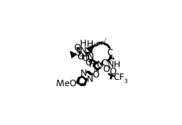 COc1ccc2nc(O[C@@H]3C[C@H]4C(=O)N[C@]5(C(=O)NS(=O)(=O)C6CC6)C[C@H]5/C=C\[C@H](C)CCC[C@@H](C)[C@H](NC(=O)OC(C)(C)C(F)(F)F)CN4C3)cnc2c1